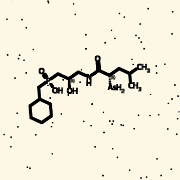 CC(C)C[C@H]([AsH2])C(=O)NC[C@@H](O)CP(=O)(O)CC1CCCCC1